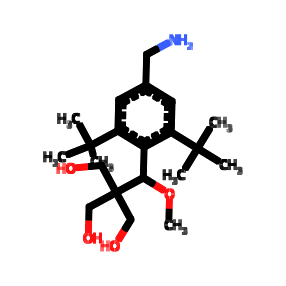 COC(c1c(C(C)(C)C)cc(CN)cc1C(C)(C)C)C(CO)(CO)CO